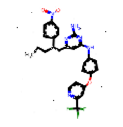 CCCC(Cc1cc(Nc2ccc(Oc3ccnc(C(F)(F)F)c3)cc2)nc(N)n1)c1ccc([N+](=O)[O-])cc1